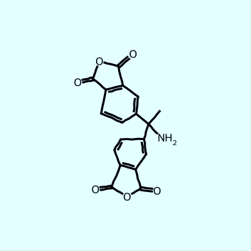 CC(N)(c1ccc2c(c1)C(=O)OC2=O)c1ccc2c(c1)C(=O)OC2=O